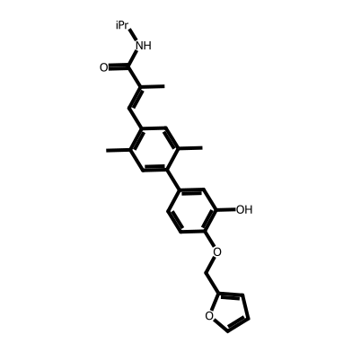 C/C(=C\c1cc(C)c(-c2ccc(OCc3ccco3)c(O)c2)cc1C)C(=O)NC(C)C